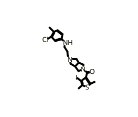 Cc1ccc(NCCCN2CC3CN(C(=O)c4c(C)sc(C)c4I)CC3C2)cc1Cl